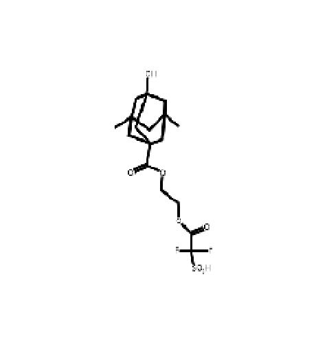 CC12CC3(C)CC(O)(C1)CC(C(=O)OCCOC(=O)C(F)(F)S(=O)(=O)O)(C2)C3